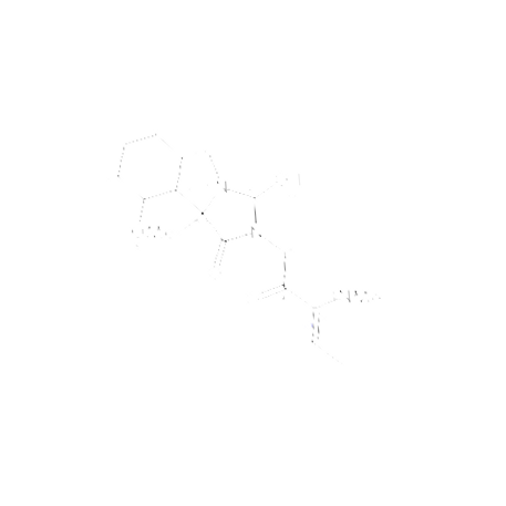 C/C=C(\NC)C(=O)CN1C(=O)C(C)(C2CCCCC2OC)N(C)C1O